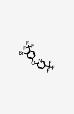 FC(F)(F)c1ccc(Oc2ccc(C(F)(F)F)c(Br)c2)nc1